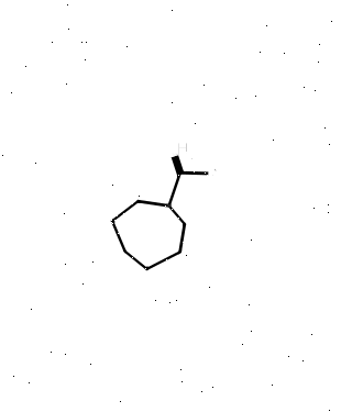 C=C(C(C)=O)C1CCCCCC1